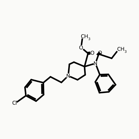 CCC(=O)N(c1ccccc1)C1(C(=O)OC)CCN(CCc2ccc(Cl)cc2)CC1